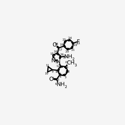 Cc1ccc(C(N)=O)c(C2CC2)c1-n1ncc(C(=O)c2ccc(F)cc2)c1N